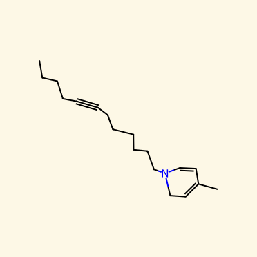 CCCCC#CCCCCCCN1C=CC(C)=CC1